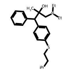 CCN(CC)CC(C)(O)C(c1ccccc1)c1ccc(SCCC(C)C)cc1